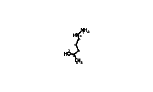 CC(O)CCCNN